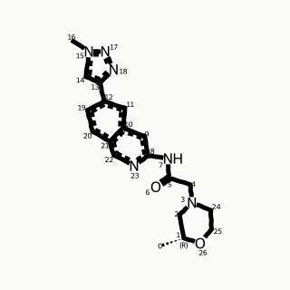 C[C@@H]1CN(CC(=O)Nc2cc3cc(-c4cn(C)nn4)ccc3cn2)CCO1